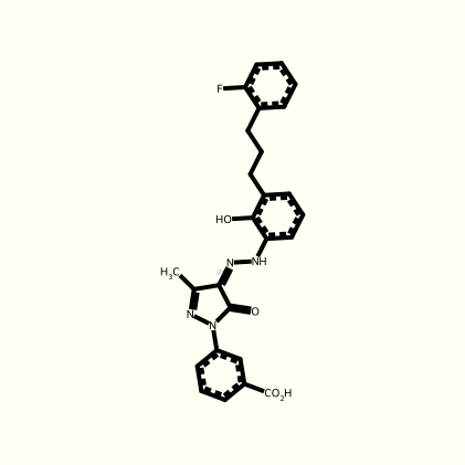 CC1=NN(c2cccc(C(=O)O)c2)C(=O)/C1=N\Nc1cccc(CCCc2ccccc2F)c1O